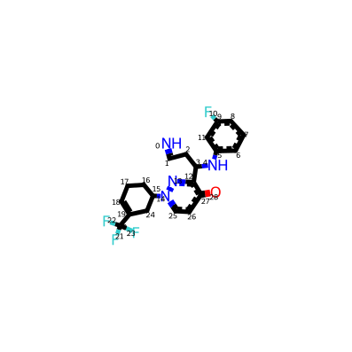 N=CCC(Nc1cccc(F)c1)c1nn(C2CCC=C(C(F)(F)F)C2)ccc1=O